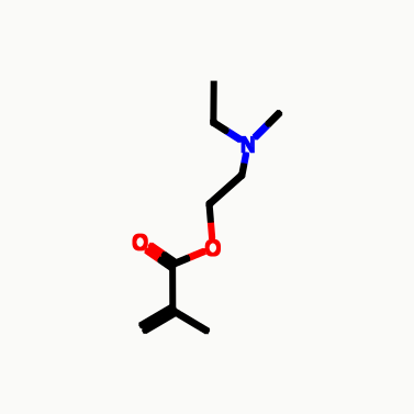 C=C(C)C(=O)OCCN(C)CC